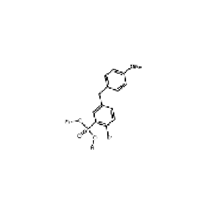 CCOP(=O)(OCC)c1cc(Cc2ccc(OC)cc2)ccc1Br